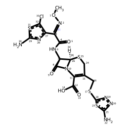 CO/N=C(/C(=O)NC1C(=O)N2C(C(=O)O)=C(CSc3nnc(N)s3)CS[C@H]12)c1nc(N)sc1Cl